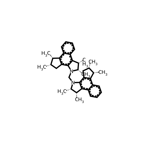 C[C@@H]1c2c(c3c(c4ccccc24)[C@H](C)[C@H](C)N3CN2c3c4c(c5ccccc5c3[C@H](C)[C@@H]2C)[C@@H](C)[C@@H](C)C4)C[C@@H]1C